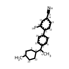 CC1CCC(C(C)c2ccc(-c3ccc(C#N)cc3F)cc2)CC1